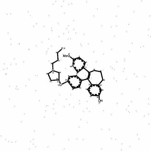 COc1ccc(C2=C(c3ccc(O[C@H]4CCN(CCCF)C4)cc3)c3ccc(O)cc3CCC2)cn1